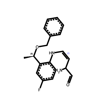 C[C@@H](OCc1ccccc1)c1cc(F)ccc1N/C=C\C(N)C=O